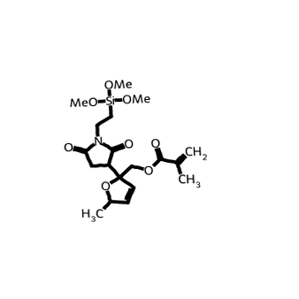 C=C(C)C(=O)OCC1(C2CC(=O)N(CC[Si](OC)(OC)OC)C2=O)C=CC(C)O1